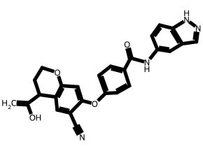 C=C(O)C1CCOc2cc(Oc3ccc(C(=O)Nc4ccc5[nH]ncc5c4)cc3)c(C#N)cc21